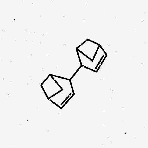 C1=CC2CC(C2)[C]1C1C=CC2CC1C2